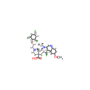 COc1ccc2ncc(N(C)C)c([C@@H](F)CCC3(C(=O)O)CCN(CCSc4c(F)cc(F)cc4F)CC3)c2c1